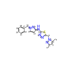 Cc1cc(C)n(Cc2nnc(Nc3ccn(Cc4ccccc4)n3)s2)n1